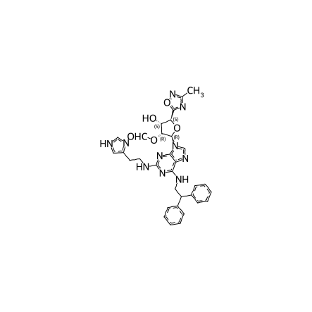 Cc1noc([C@H]2O[C@@H](n3cnc4c(NCC(c5ccccc5)c5ccccc5)nc(NCCc5c[nH]cn5)nc43)[C@H](OC=O)[C@@H]2O)n1